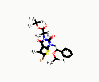 Cc1c(Br)sc2c1c(=O)n(C(C)(C)C(=O)OC(C)(C)C)c(=O)n2C[C@@H](OC(C)C)c1ccccc1